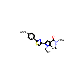 CCCCNC(=O)c1cc(-c2csc(-c3ccc(OC)cc3)n2)n(CC(C)C)c1C